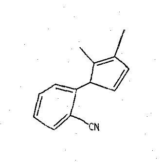 CC1=C(C)C(c2ccccc2C#N)C=C1